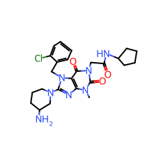 Cn1c(=O)n(CC(=O)NC2CCCC2)c(=O)c2c1nc(N1CCCC(N)C1)n2Cc1ccccc1Cl